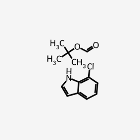 CC(C)(C)OC=O.Clc1cccc2cc[nH]c12